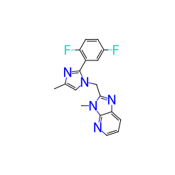 Cc1cn(Cc2nc3cccnc3n2C)c(-c2cc(F)ccc2F)n1